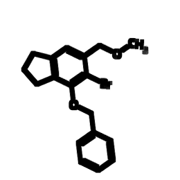 COCc1cc2c(c(OCc3ccccc3)c1Br)CCC2